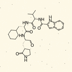 CC(C)C(NC(=O)c1cc2ccccc2[nH]1)C(=O)N[C@@H](CC1CCCCC1)C(=O)N[C@H](C=O)C[C@@H]1CCNC1=O